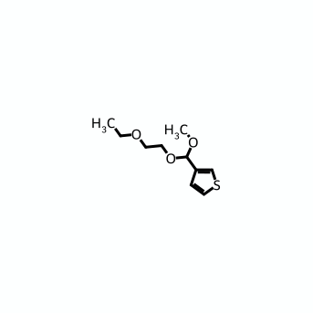 CCOCCOC(OC)c1ccsc1